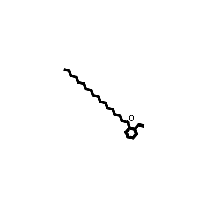 C=Cc1ccccc1C(=O)CCCCCCCCCCCCCCCCC